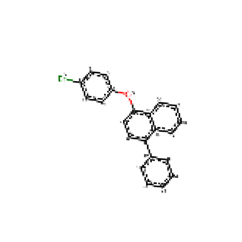 Brc1ccc(Oc2ccc(-c3ccccc3)c3ccccc23)cc1